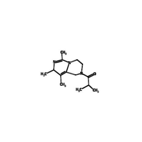 CC1=NC(C)C(C)=C2CN(C(=O)C(C)C)CCN12